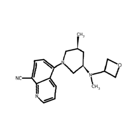 C[C@H]1C[C@@H](N(C)C2COC2)CN(c2ccc(C#N)c3ncccc23)C1